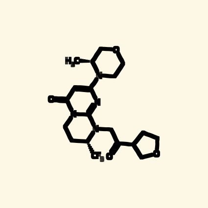 C[C@@H]1COCCN1c1cc(=O)n2c(n1)N(CC(=O)C1CCOC1)[C@H](C(F)(F)F)CC2